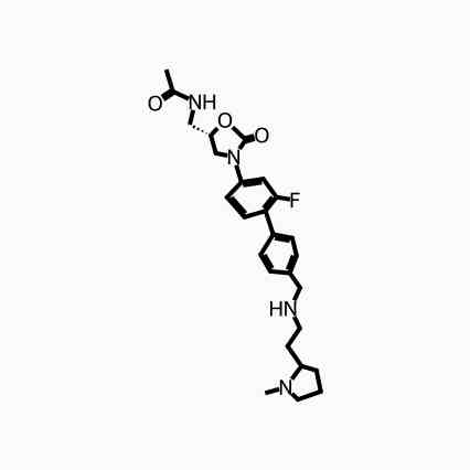 CC(=O)NC[C@H]1CN(c2ccc(-c3ccc(CNCCC4CCCN4C)cc3)c(F)c2)C(=O)O1